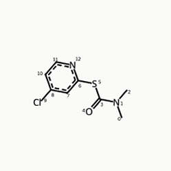 CN(C)C(=O)Sc1cc(Cl)ccn1